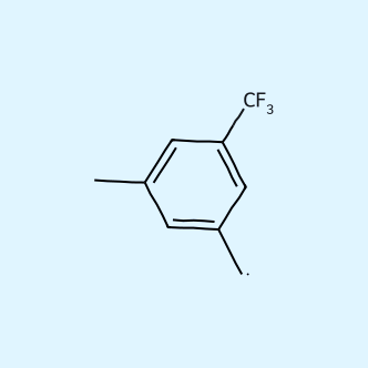 [CH2]c1cc(C)cc(C(F)(F)F)c1